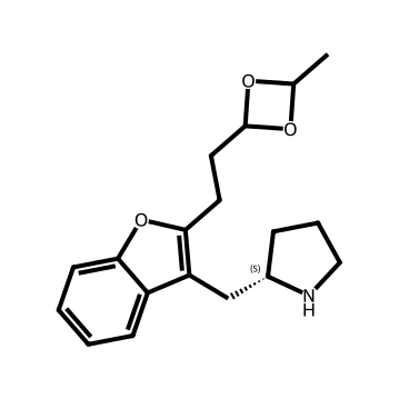 CC1OC(CCc2oc3ccccc3c2C[C@@H]2CCCN2)O1